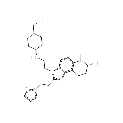 C[C@H]1CCc2c(ccc3c2nc(CCn2cccn2)n3CCNC2CCC(CO)CC2)N1